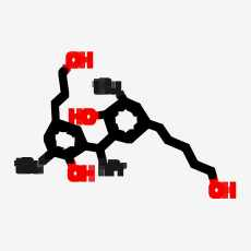 CCCC(c1cc(CCCO)cc(C(C)(C)C)c1O)c1cc(CCCCCO)cc(C(C)(C)C)c1O